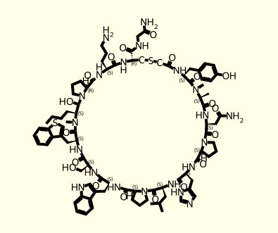 CCCC[C@H]1C(O)N2CCC[C@@H]2C(=O)N[C@@H](CCCN)C(=O)N[C@H](C(=O)NCC(N)=O)CSCC(=O)N[C@@H](Cc2ccc(O)cc2)C(=O)N(C)[C@@H](C)C(=O)N[C@@H](CC(N)=O)C(=O)N2CCC[C@H]2C(=O)N[C@@H](Cc2cnc[nH]2)C(=O)N[C@@H](CC(C)C)C(=O)N2CCC[C@H]2C(=O)N[C@@H](Cc2c[nH]c3ccccc23)C(=O)N[C@@H](CO)C(=O)N[C@@H](Cc2csc3ccccc23)C(=O)N1C